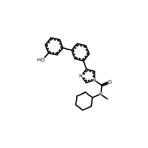 CN(C(=O)n1cnc(-c2cccc(-c3cccc(O)c3)c2)c1)C1CCCCC1